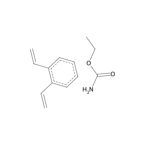 C=Cc1ccccc1C=C.CCOC(N)=O